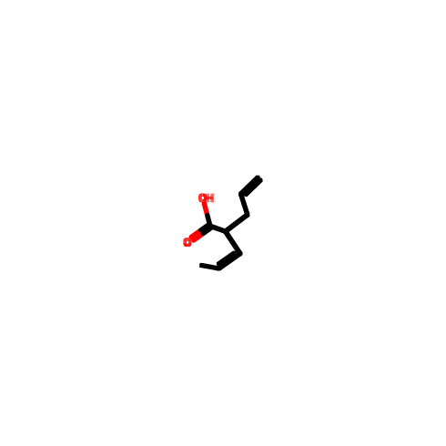 C=CCC(/C=C\C)C(=O)O